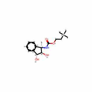 C[C@@]1(NC(=O)OCC[Si](C)(C)C)c2ccccc2[C@@H](O)[C@@H]1O